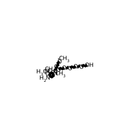 CCOCCOC(CN(C)c1ccc(N)c(O[Si](C)(C)C)c1)OCCOCCOCCOCCOCCO